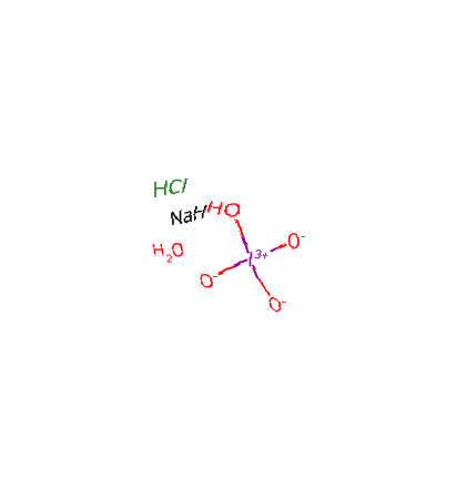 Cl.O.[NaH].[O-][I+3]([O-])([O-])O